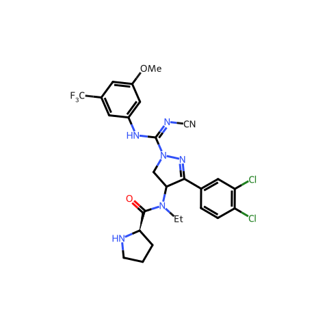 CCN(C(=O)[C@H]1CCCN1)C1CN(/C(=N\C#N)Nc2cc(OC)cc(C(F)(F)F)c2)N=C1c1ccc(Cl)c(Cl)c1